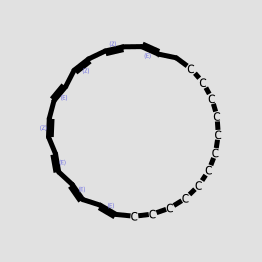 [C]1=C/C=C\C=C/C=C/C=C\C=C\C=C\C=C\CCCCCCCCCCCCC/1